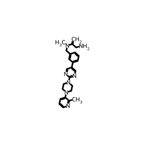 C=C(CN)N(C)Cc1cccc(-c2cnc(N3CCN(c4cccnc4C)CC3)nc2)c1